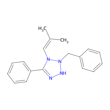 CC(C)=CN1C(c2ccccc2)=NNN1Cc1ccccc1